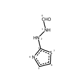 O=CNNc1nccs1